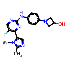 Cc1ncc(-c2nc(Nc3ccc(N4CC(O)C4)cc3)ncc2F)n1C(C)C